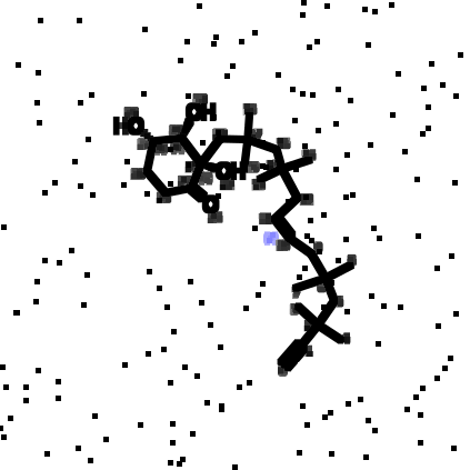 C#CC(C)(C)CC(C)(C)C/C=C\CC(C)(C)CC(C)(C)C[C@]1(O)C(=O)CC[C@H](O)[C@H]1O